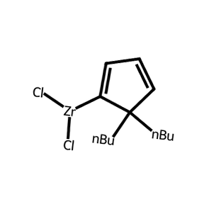 CCCCC1(CCCC)C=CC=[C]1[Zr]([Cl])[Cl]